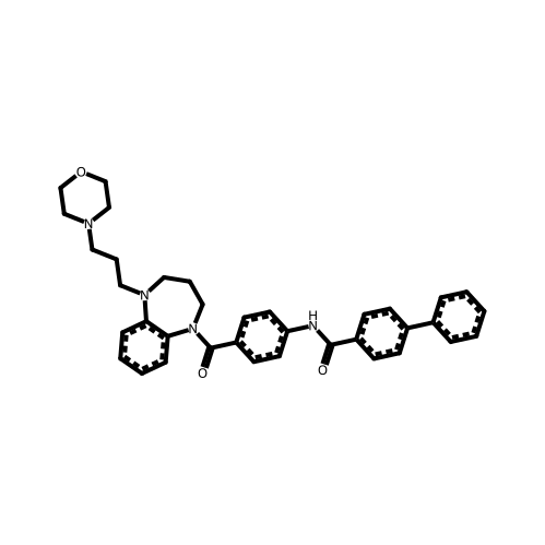 O=C(Nc1ccc(C(=O)N2CCCN(CCCN3CCOCC3)c3ccccc32)cc1)c1ccc(-c2ccccc2)cc1